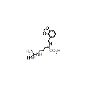 [H]/N=C(\N)NCCC[C@H](N=Cc1cccc2c1OCO2)C(=O)O